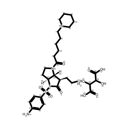 CCC[C@H]1C(=O)N(S(=O)(=O)c2ccc(N)cc2)[C@H]2CCN(C(=O)CCCCCN3CCCCC3)[C@H]12.O=C(O)C(O)C(O)C(=O)O